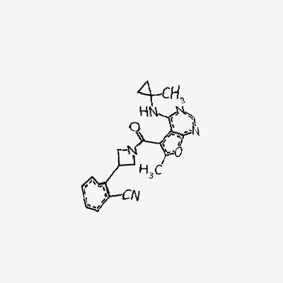 Cc1oc2ncnc(NC3(C)CC3)c2c1C(=O)N1CC(c2ccccc2C#N)C1